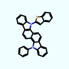 c1ccc(-n2c3ccccc3c3ccc4c(ccc5c6ccccc6n(-c6cc7ccccc7s6)c54)c32)cc1